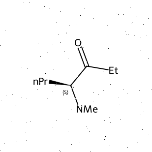 CCC[C@H](NC)C(=O)CC